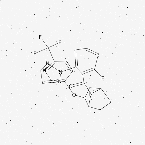 O=C(c1c(F)cccc1-n1nccn1)N1C2CCC1C(Oc1ccc(C(F)(F)F)nc1)C2